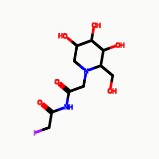 O=C(CI)NC(=O)CN1CC(O)C(O)C(O)C1CO